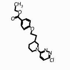 CCOC(=O)c1ccc(OCCC2CCCN(c3ccc(Cl)nn3)C2)cc1